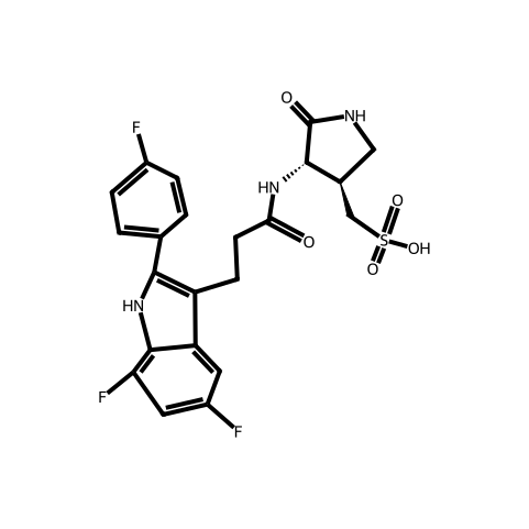 O=C(CCc1c(-c2ccc(F)cc2)[nH]c2c(F)cc(F)cc12)N[C@@H]1C(=O)NC[C@H]1CS(=O)(=O)O